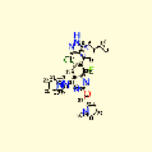 CC(C)=C/C=c1/[nH]nc/c1=C(/C)c1c(Cl)cc2c(N3CC4CCC(C3)N4)nc(OC[C@@H]3CCCN3C)nc2c1F